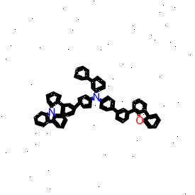 C1=Cc2c(n(-c3ccccc3-c3cccc(-c4ccc(N(c5ccc(-c6cccc(-c7cccc8c7oc7ccccc78)c6)cc5)c5cccc(-c6ccccc6)c5)cc4)c3)c3ccccc23)CC1